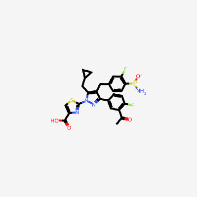 CC(=O)c1cc(-c2nn(-c3nc(C(=O)O)cs3)c(CC3CC3)c2Cc2ccc([S+](N)[O-])c(F)c2)ccc1F